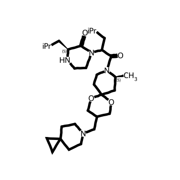 CC(C)CC(C(=O)N1CCC2(C[C@@H]1C)OCC(CN1CCC3(CC1)CC3)CO2)N1CCN[C@@H](CC(C)C)C1=O